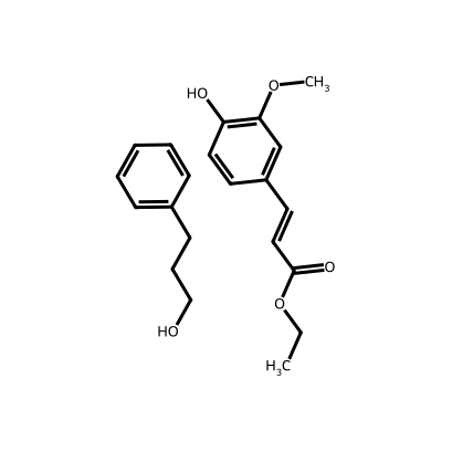 CCOC(=O)C=Cc1ccc(O)c(OC)c1.OCCCc1ccccc1